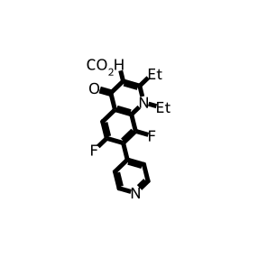 CCc1c(C(=O)O)c(=O)c2cc(F)c(-c3ccncc3)c(F)c2n1CC